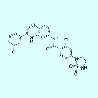 O=C(Nc1cc(NC(=O)c2ccc(N3CCNS3(=O)=O)cc2Cl)ccc1Cl)c1cccc(Cl)c1